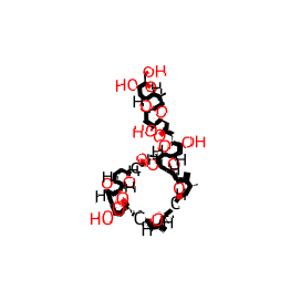 C=C1C[C@@H]2CC[C@]34C[C@@H](O)C(O3)[C@H]3CC(O4)[C@H]4O[C@H](CC[C@@H]4O3)CC(=O)O[C@@H]3[C@@H](C)[C@@H]4O[C@H](CC(=O)C[C@@H]5O[C@@]6(CC[C@@H]5O)C[C@H](C)[C@@H]5O[C@H](CO)[C@H](O)C[C@@H]5O6)[C@H](O)C[C@@H]4O[C@H]3C[C@H]3O[C@@H](CC[C@@H]1O2)C[C@@H](C)C3=C